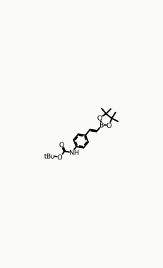 CC(C)(C)OC(=O)Nc1ccc(/C=C/B2OC(C)(C)C(C)(C)O2)cc1